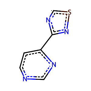 [c]1nc(-c2ccncn2)ns1